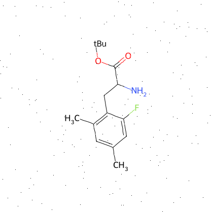 Cc1cc(C)c(CC(N)C(=O)OC(C)(C)C)c(F)c1